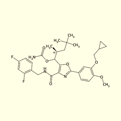 COc1ccc(-c2nc(C(=O)NCc3ccc(F)cc3F)c(C(OC(N)=O)[C@@H](C)CC(C)(C)C)o2)cc1OCC1CC1